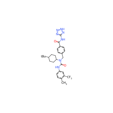 Cc1ccc(NC(=O)N(Cc2ccc(C(=O)Nc3nn[nH]n3)cc2)C2CCC(C(C)(C)C)CC2)cc1C(F)(F)F